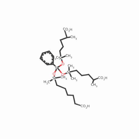 CC(CCC[Si](C)(C)O[Si](O[Si](C)(C)CCCCCC(=O)O)(O[Si](C)(C)CCCC(C)C(=O)O)c1ccccc1)C(=O)O